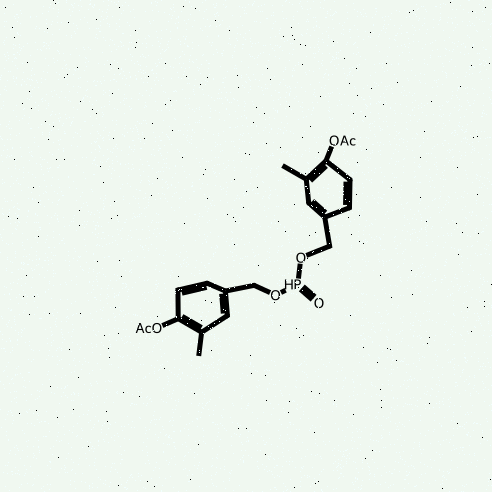 CC(=O)Oc1ccc(CO[PH](=O)OCc2ccc(OC(C)=O)c(C)c2)cc1C